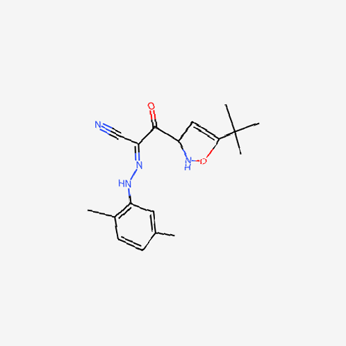 Cc1ccc(C)c(N/N=C(\C#N)C(=O)C2C=C(C(C)(C)C)ON2)c1